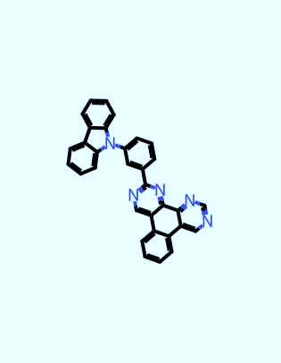 c1cc(-c2ncc3c4ccccc4c4cncnc4c3n2)cc(-n2c3ccccc3c3ccccc32)c1